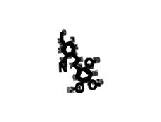 CCc1ccc(C=Cc2cc(OC)c(OC)cc2OC)c(C#N)c1